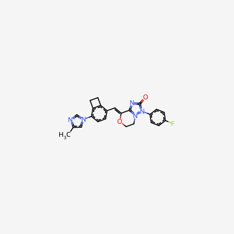 Cc1cn(-c2ccc(/C=C3\OCCn4c3nc(=O)n4-c3ccc(F)cc3)c3c2CC3)cn1